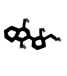 NCc1cccc(-c2cc(N)c3ccccc3c2N)c1N